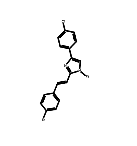 CCn1cc(-c2ccc(Cl)cc2)nc1/C=C/c1ccc(Br)cc1